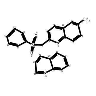 Cc1ccc2nc(CS(=O)(=O)c3ccccc3)ccc2c1.c1ccc2ncccc2c1